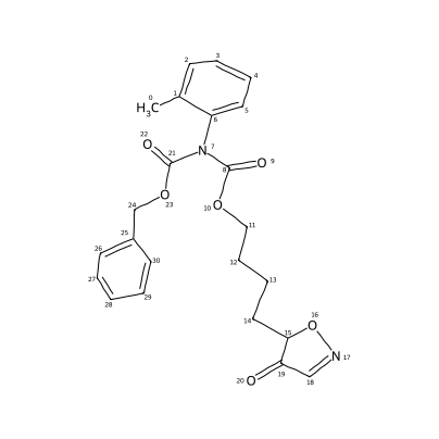 Cc1ccccc1N(C(=O)OCCCCC1ON=CC1=O)C(=O)OCc1ccccc1